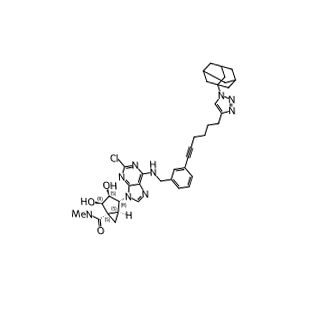 CNC(=O)[C@@]12C[C@@H]1[C@@H](n1cnc3c(NCc4cccc(C#CCCCCc5cn(C67CC8CC(CC(C8)C6)C7)nn5)c4)nc(Cl)nc31)[C@H](O)[C@@H]2O